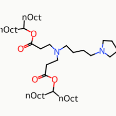 CCCCCCCCC(CCCCCCCC)OC(=O)CCN(CCCCN1CCCC1)CCC(=O)OC(CCCCCCCC)CCCCCCCC